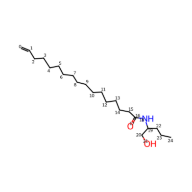 C=CCCCCCCCCCCCCCCC(=O)NC(CO)CCC